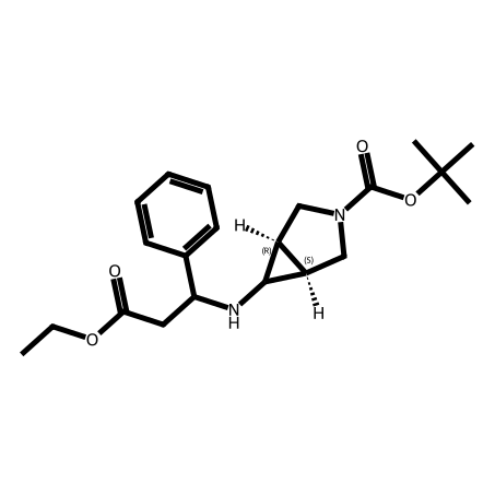 CCOC(=O)CC(NC1[C@H]2CN(C(=O)OC(C)(C)C)C[C@@H]12)c1ccccc1